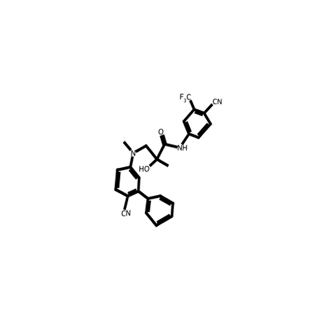 CN(CC(C)(O)C(=O)Nc1ccc(C#N)c(C(F)(F)F)c1)c1ccc(C#N)c(-c2ccccc2)c1